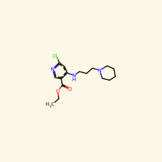 CCOC(=O)c1cnc(Cl)cc1NCCCN1CCCCC1